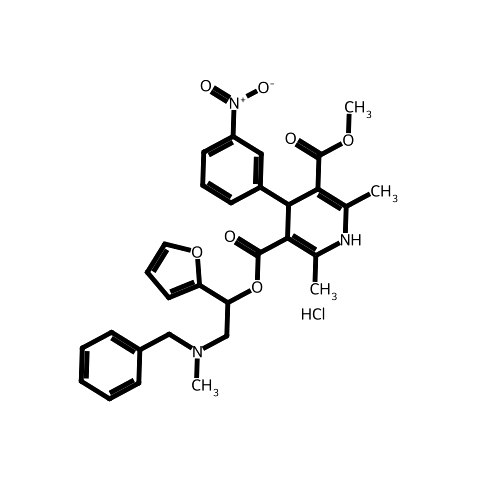 COC(=O)C1=C(C)NC(C)=C(C(=O)OC(CN(C)Cc2ccccc2)c2ccco2)C1c1cccc([N+](=O)[O-])c1.Cl